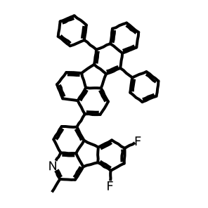 Cc1cc2c3c(c(-c4ccc5c6c(cccc46)-c4c-5c(-c5ccccc5)c5ccccc5c4-c4ccccc4)ccc3n1)-c1cc(F)cc(F)c1-2